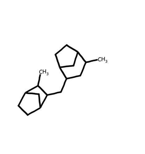 CC1CC(CC2C3CCC(C3)C2C)C2CCC1C2